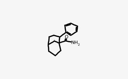 NC(=O)C12[CH]C(CCC1)CCC2c1ccccc1